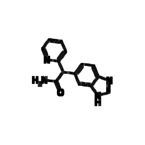 NC(=O)C(c1ccc2nc[nH]c2c1)c1ccccn1